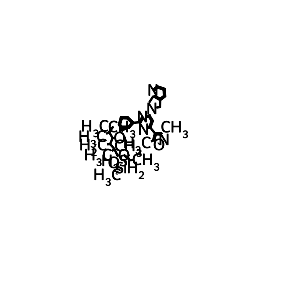 [CH2]C(C(Oc1cccc(-c2nc(-c3c(C)noc3C)cc(N3Cc4cccnc4C3)n2)c1)C(C)(C)C)C(C)(C)C(O[SiH2]C)O[SiH2]C